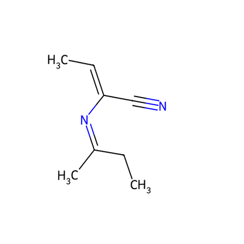 C/C=C(C#N)\N=C(\C)CC